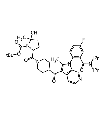 Cc1c(C(=O)C2CCN(C(=O)[C@@H]3CCC(C)(C)N3C(=O)OC(C)(C)C)CC2)c2ccncc2n1-c1ccc(F)cc1C(=O)N(C(C)C)C(C)C